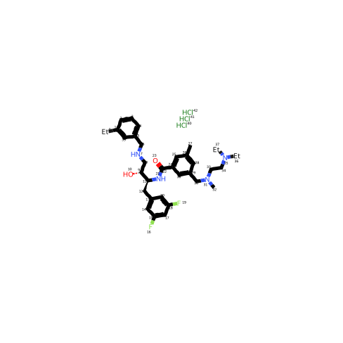 CCc1cccc(CNC[C@@H](O)[C@H](Cc2cc(F)cc(F)c2)NC(=O)c2cc(C)cc(CN(C)CCN(CC)CC)c2)c1.Cl.Cl.Cl